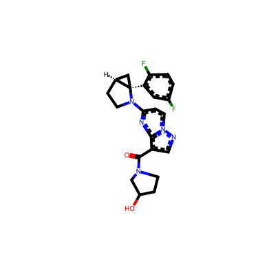 O=C(c1cnn2ccc(N3CC[C@H]4C[C@]43c3cc(F)ccc3F)nc12)N1CCC(O)C1